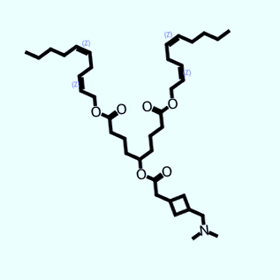 CCCC/C=C\C/C=C\COC(=O)CCCC(CCCC(=O)OC/C=C\C/C=C\CCCC)OC(=O)CC1CC(CN(C)C)C1